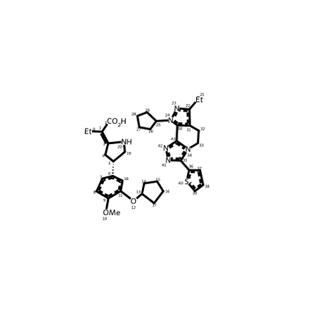 CCC(C(=O)O)=C1C[C@@H](c2ccc(OC)c(OC3CCCC3)c2)CN1.CCc1nn(C2CCCC2)c2c1CCn1c(-c3cccs3)nnc1-2